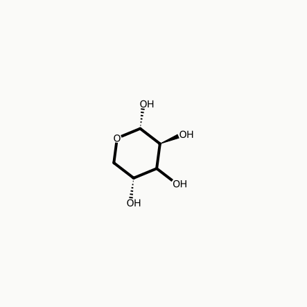 OC1[C@H](O)CO[C@H](O)[C@H]1O